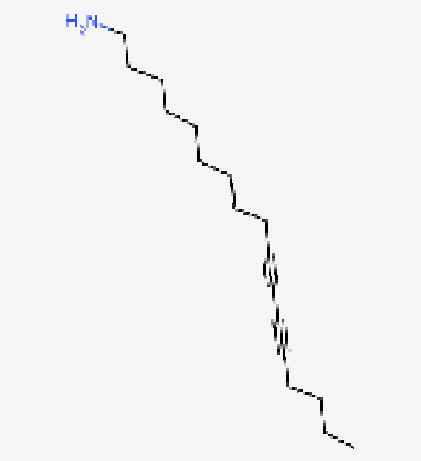 CCCCC#CC#CCCCCCCCCCN